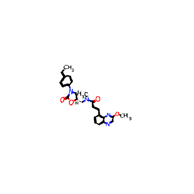 CCc1ccc(N2C[C@H](CN(C)C(=O)C=Cc3cccc4ncc(OC)nc34)OC2=O)cc1